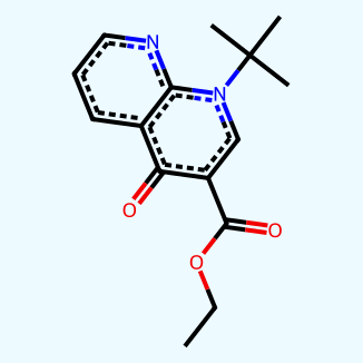 CCOC(=O)c1cn(C(C)(C)C)c2ncccc2c1=O